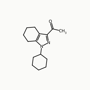 CC(=O)c1nn(C2CCCCC2)c2c1CCCC2